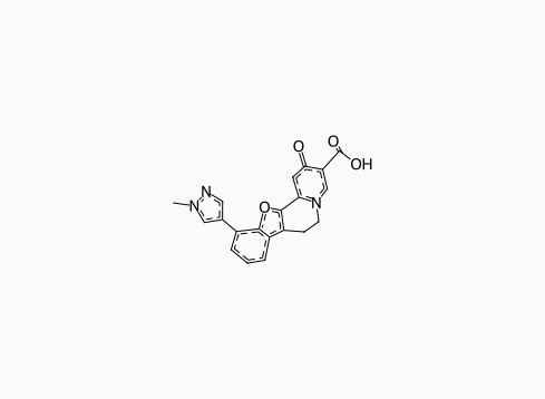 Cn1cc(-c2cccc3c4c(oc23)-c2cc(=O)c(C(=O)O)cn2CC4)cn1